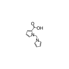 O=C(O)c1cccn1Cn1cccc1